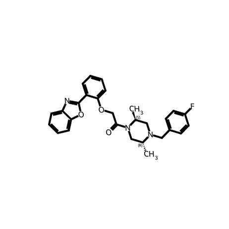 C[C@@H]1CN(C(=O)COc2ccccc2-c2nc3ccccc3o2)[C@@H](C)CN1Cc1ccc(F)cc1